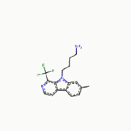 Cc1ccc2c3ccnc(C(F)(F)F)c3n(CCCCN)c2c1